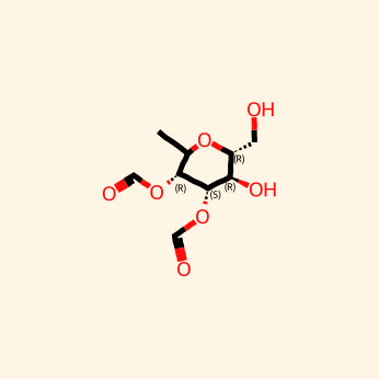 CC1O[C@H](CO)[C@@H](O)[C@H](OC=O)[C@@H]1OC=O